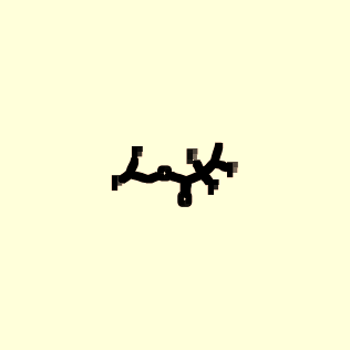 CC(F)C(F)(F)C(=O)OCC(F)F